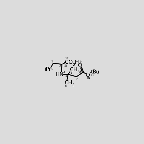 CC(C)C[C@H](NC(C)(C)CC(=O)OC(C)(C)C)C(=O)O